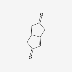 O=C1C=C2CC(=O)CC2C1